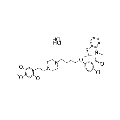 COc1cc(OC)c(OC)cc1CCN1CCN(CCCCOc2ccc(Cl)cc2C2(C)Sc3ccccc3N(C)C2C=O)CC1.Cl.Cl